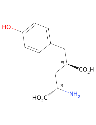 N[C@@H](C[C@@H](Cc1ccc(O)cc1)C(=O)O)C(=O)O